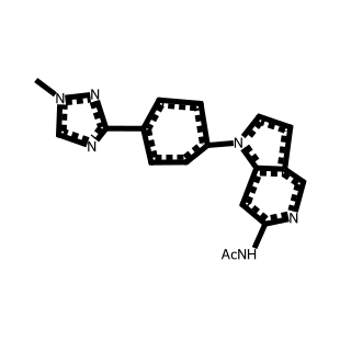 CC(=O)Nc1cc2c(ccn2-c2ccc(-c3ncn(C)n3)cc2)cn1